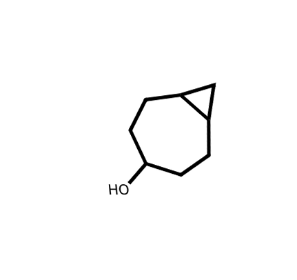 OC1CCC2CC2CC1